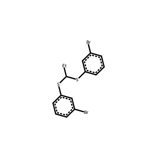 CCC(Sc1cccc(Br)c1)Sc1cccc(Br)c1